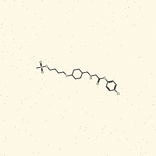 CS(=O)(=O)OCCCCOC1CCC(CNCC(=O)Oc2ccc(Cl)cc2)CC1